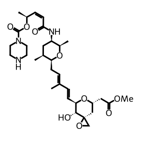 COC(=O)C[C@@H]1C[C@@]2(CO2)[C@H](O)[C@@H](/C=C/C(C)=C/C[C@@H]2O[C@H](C)[C@H](NC(=O)/C=C\[C@H](C)OC(=O)N3CCNCC3)C[C@@H]2C)O1